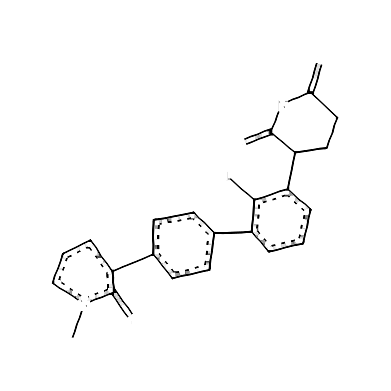 Cn1cccc(-c2ccc(-c3cccc(C4CCC(=O)NC4=O)c3Cl)cc2)c1=O